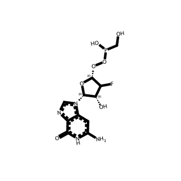 Nc1cc2c(ncn2[C@@H]2O[C@H](OOP(O)CO)C(F)[C@@H]2O)c(=O)[nH]1